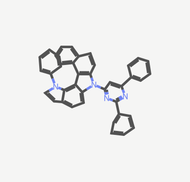 c1ccc(-c2cc(-n3c4ccc5ccccc5c4c4c5c(ccc43)ccn5-c3ccccc3)nc(-c3ccccc3)n2)cc1